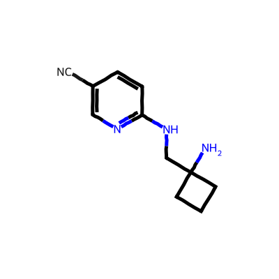 N#Cc1ccc(NCC2(N)CCC2)nc1